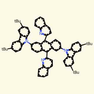 CC(C)(C)c1ccc2c(c1)c1cc(C(C)(C)C)ccc1n2-c1ccc2c(-c3ccc4ccccc4n3)c3cc(-n4c5ccc(C(C)(C)C)cc5c5cc(C(C)(C)C)ccc54)ccc3c(-c3ccc4ccccc4n3)c2c1